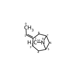 C/C=C1/CCC2CC(C1)N2C